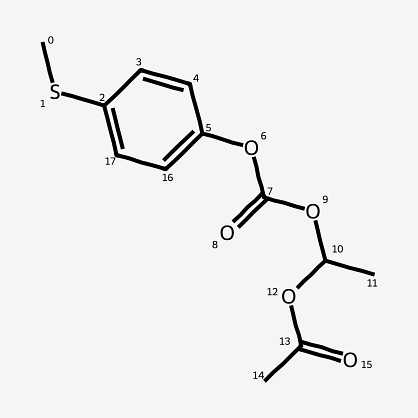 CSc1ccc(OC(=O)OC(C)OC(C)=O)cc1